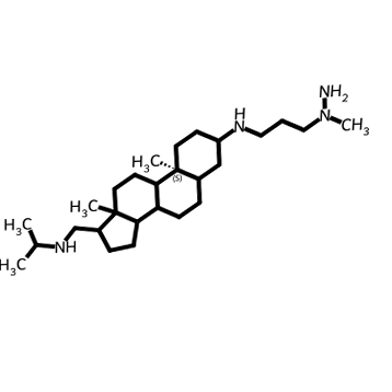 CC(C)NCC1CCC2C3CCC4CC(NCCCN(C)N)CC[C@]4(C)C3CCC12C